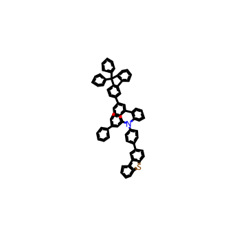 c1ccc(-c2cccc(N(c3ccc(-c4ccc5sc6ccccc6c5c4)cc3)c3ccccc3-c3cccc(-c4ccc5c(c4)-c4ccccc4C5(c4ccccc4)c4ccccc4)c3)c2)cc1